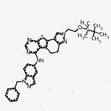 CC(C)(C)[Si](C)(C)OCCn1cc2c(n1)CCc1c-2sc2ncnc(Nc3ccc4c(cnn4Cc4ccccc4)c3)c12